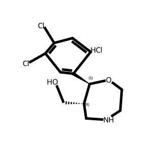 Cl.OC[C@H]1CNCCO[C@@H]1c1ccc(Cl)c(Cl)c1